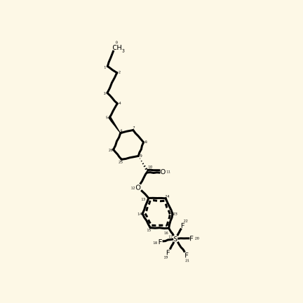 CCCCCC[C@H]1CC[C@H](C(=O)Oc2ccc(S(F)(F)(F)(F)F)cc2)CC1